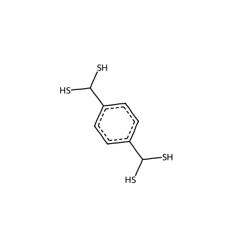 SC(S)c1ccc(C(S)S)cc1